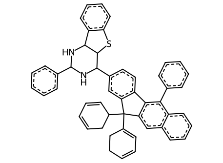 C1=CCCC(C2(C3C=CC=CC3)c3cc(C4NC(c5ccccc5)NC5c6ccccc6SC45)ccc3-c3c2cc2ccccc2c3-c2ccccc2)=C1